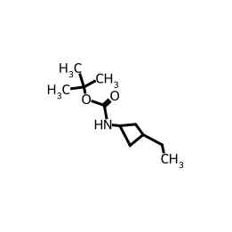 CCC1CC(NC(=O)OC(C)(C)C)C1